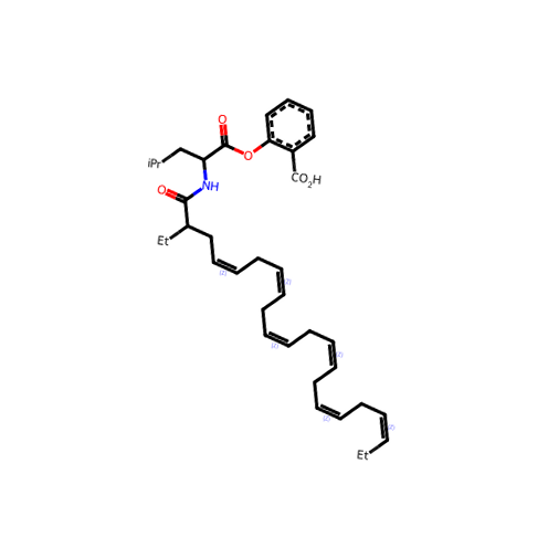 CC/C=C\C/C=C\C/C=C\C/C=C\C/C=C\C/C=C\CC(CC)C(=O)NC(CC(C)C)C(=O)Oc1ccccc1C(=O)O